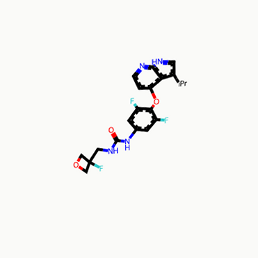 CC(C)c1c[nH]c2nccc(Oc3c(F)cc(NC(=O)NCC4(F)COC4)cc3F)c12